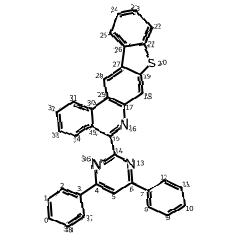 c1ccc(-c2cc(-c3ccccc3)nc(-c3nc4cc5sc6ccccc6c5cc4c4ccccc34)n2)cc1